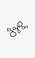 CCC1(OC(=O)N2CCCC2O)CCCCC1